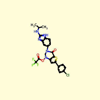 CC(C)Nc1nc2cc(N3CN(OC(=O)C(F)(F)F)c4cc(-c5ccc(Cl)cc5)sc4C3=O)ccc2[nH]1